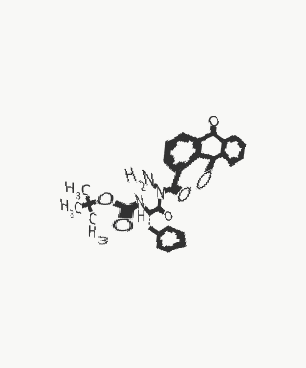 CC(C)(C)OC(=O)N[C@@H](Cc1ccccc1)C(=O)N(N)C(=O)c1cccc2c1C(=O)c1ccccc1C2=O